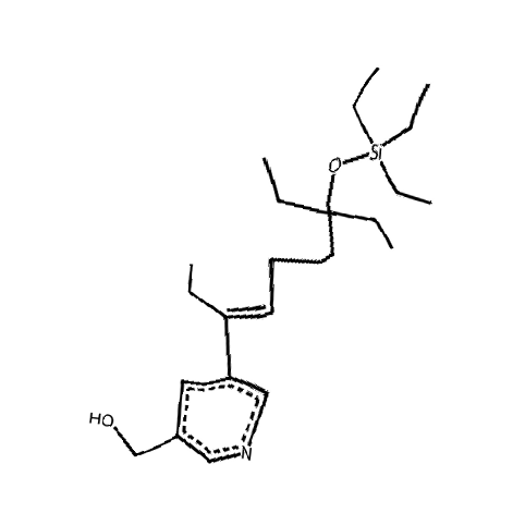 CC/C(=C\CCC(CC)(CC)O[Si](CC)(CC)CC)c1cncc(CO)c1